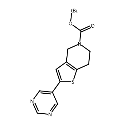 CC(C)(C)OC(=O)N1CCc2sc(-c3cncnc3)cc2C1